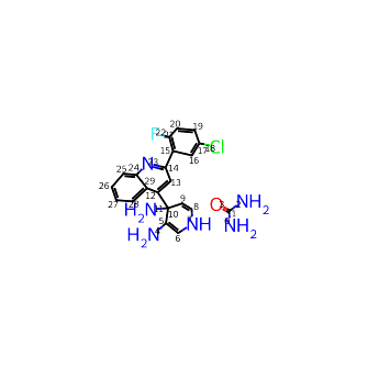 NC(N)=O.NC1=CNC=CC1(N)c1cc(-c2cc(Cl)ccc2F)nc2ccccc12